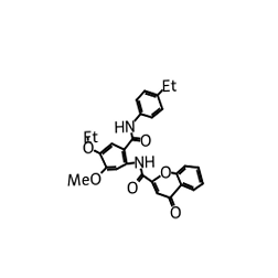 [CH2]Cc1ccc(NC(=O)c2cc(OCC)c(OC)cc2NC(=O)c2cc(=O)c3ccccc3o2)cc1